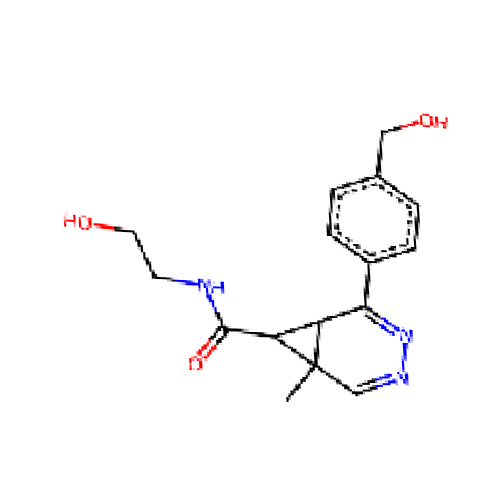 CC12C=NN=C(c3ccc(CO)cc3)C1C2C(=O)NCCO